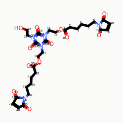 O=C(CCCCCN1C(=O)C=CC1=O)OCCn1c(=O)n(CCO)c(=O)n(CCOC(=O)CCCCCN2C(=O)C=CC2=O)c1=O